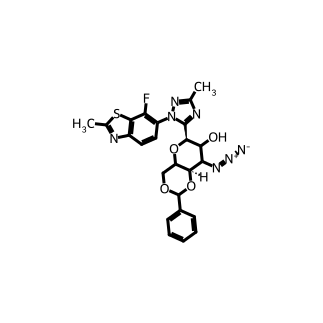 Cc1nc([C@@H]2OC3COC(c4ccccc4)O[C@@H]3C(N=[N+]=[N-])C2O)n(-c2ccc3nc(C)sc3c2F)n1